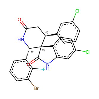 O=C1C[C@@H](c2cccc(Cl)c2)[C@]2(C(=O)Nc3cc(Cl)ccc32)[C@H](c2cccc(Br)c2F)N1